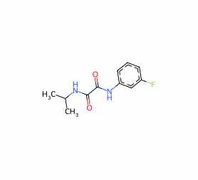 CC(C)NC(=O)C(=O)Nc1cccc(F)c1